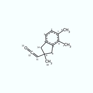 Cc1ccc2c(c1C)CC(C)(C=C=O)C2